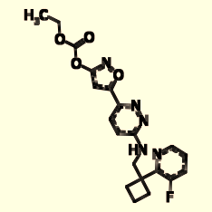 CCOC(=O)Oc1cc(-c2ccc(NCC3(c4ncccc4F)CCC3)nn2)on1